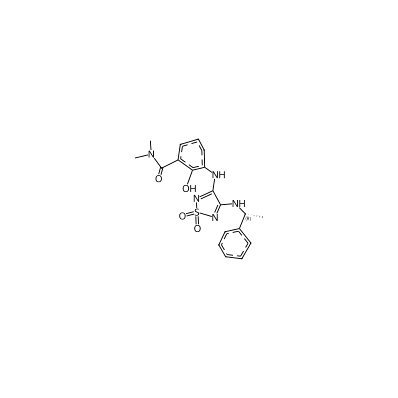 C[C@@H](NC1=NS(=O)(=O)N=C1Nc1cccc(C(=O)N(C)C)c1O)c1ccccc1